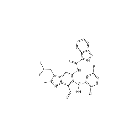 Cn1nc2c3c(c(NC(=O)c4nsc5ccccc45)cc2c1CC(F)F)[C@H](c1cc(F)ccc1Cl)NC3=O